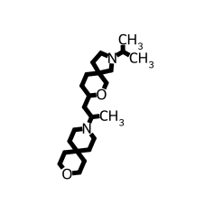 CC(C)N1CCC2(CCC(CC(C)N3CCC4(CCOCC4)CC3)OC2)C1